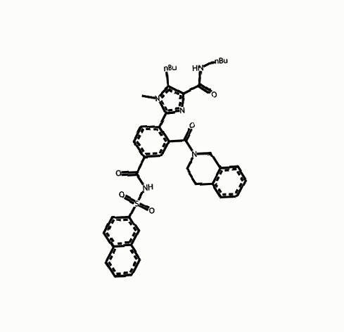 CCCCNC(=O)c1nc(-c2ccc(C(=O)NS(=O)(=O)c3ccc4ccccc4c3)cc2C(=O)N2CCc3ccccc3C2)n(C)c1CCCC